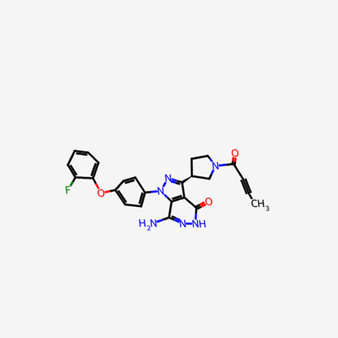 CC#CC(=O)N1CC[C@H](c2nn(-c3ccc(Oc4ccccc4F)cc3)c3c(N)n[nH]c(=O)c23)C1